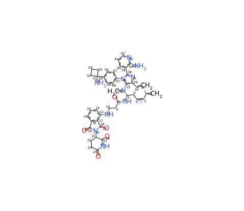 C=C/C=C\CC(NC(=O)CCNc1cccc2c1C(=O)N(C1CCC(=O)NC1=O)C2=O)N(C)c1c(C=C)nc(-c2cccnc2N)n1-c1ccc(C2(N)CCC2)cc1